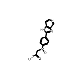 COC(=O)C[S+]([O-])c1ccc(-c2nc3cnccc3[nH]2)cc1